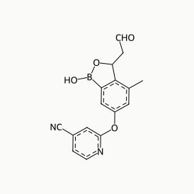 Cc1cc(Oc2cc(C#N)ccn2)cc2c1C(CC=O)OB2O